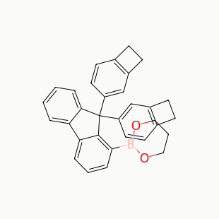 c1ccc2c(c1)-c1cccc(B3OCCCO3)c1C2(c1ccc2c(c1)CC2)c1ccc2c(c1)CC2